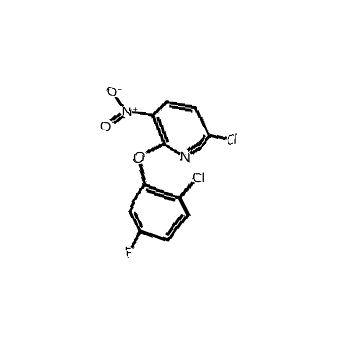 O=[N+]([O-])c1ccc(Cl)nc1Oc1cc(F)ccc1Cl